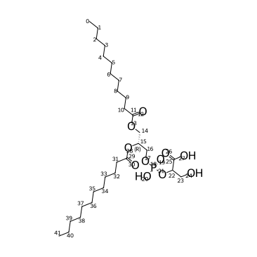 CCCCCCCCCCCC(=O)OC[C@H](COP(=O)(O)OC(CO)C(=O)O)OC(=O)CCCCCCCCCCC